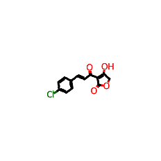 O=C(C=Cc1ccc(Cl)cc1)C1=C(O)COC1=O